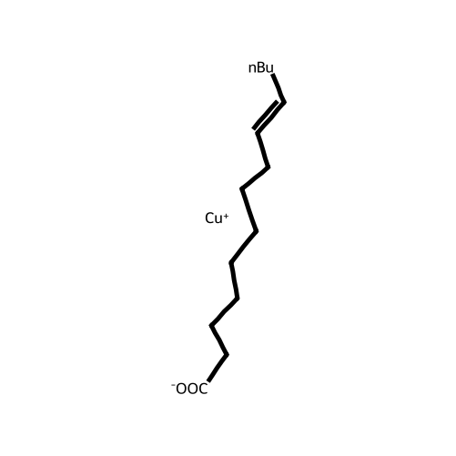 CCCCC=CCCCCCCCC(=O)[O-].[Cu+]